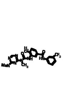 CNc1ncnc(N(C)C(=O)Nc2cc(C(=O)Nc3cccc(C(F)(F)F)c3)ccc2C)n1